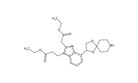 CCOC(=O)CCn1c(CC(=O)OCC)nc2c(C3COC4(CCNCC4)O3)cccc21